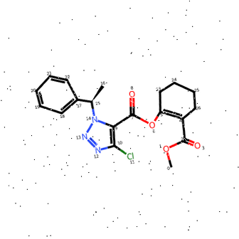 COC(=O)C1=C(OC(=O)c2c(Cl)nnn2[C@H](C)c2ccccc2)CCCC1